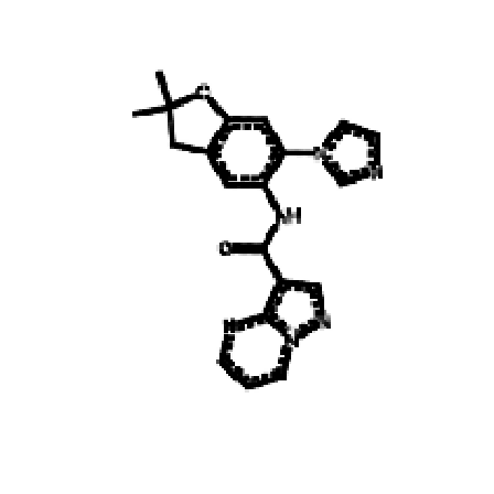 CC1(C)Cc2cc(NC(=O)c3cnn4cccnc34)c(-n3ccnc3)cc2O1